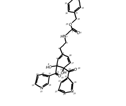 O=C(NCCC1=CC(O)(C(=O)c2cccnc2)C(O)(C(=O)c2cccnc2)C=C1)OCc1ccccc1